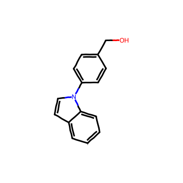 OCc1ccc(-n2ccc3c[c]ccc32)cc1